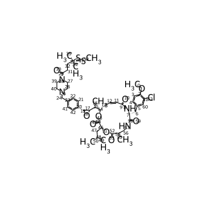 COc1ccc(C[C@H]2NC(=O)C=CC[C@@H]([C@H](C)[C@H]3O[C@@H]3c3ccc(CN4CCN(C(=O)CCC(C)(C)SSC)CC4)cc3)OC(=O)[C@H](CC(C)C)OC(=O)[C@H](C)CNC2=O)cc1Cl